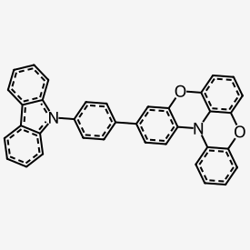 c1ccc2c(c1)Oc1cccc3c1N2c1ccc(-c2ccc(-n4c5ccccc5c5ccccc54)cc2)cc1O3